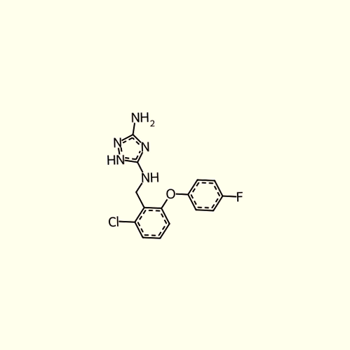 Nc1n[nH]c(NCc2c(Cl)cccc2Oc2ccc(F)cc2)n1